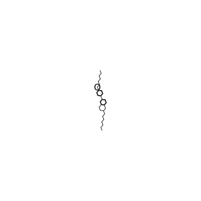 CCCCCCCC1CCc2cc(-c3ccc(OCCCCCC)cc3)ccc2C1